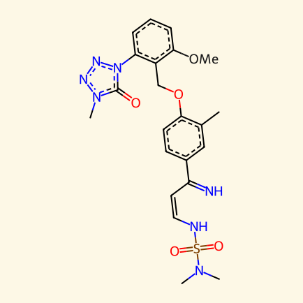 COc1cccc(-n2nnn(C)c2=O)c1COc1ccc(C(=N)/C=C\NS(=O)(=O)N(C)C)cc1C